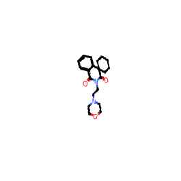 O=C1c2ccccc2C2(CCCCC2)C(=O)N1CCN1CCOCC1